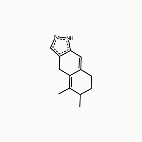 CC1=C2Cc3cn[nH]c3C=C2CCC1C